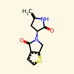 C=C1C[C@H](N2Cc3sccc3C2=O)C(=O)N1